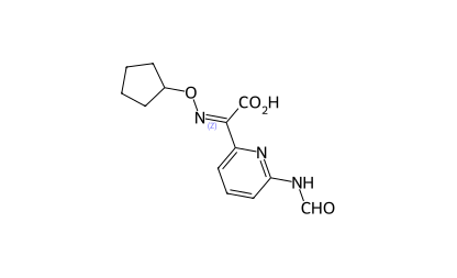 O=CNc1cccc(/C(=N/OC2CCCC2)C(=O)O)n1